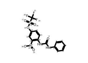 O=C(Nc1ccccc1)Nc1ccc(OS(=O)(=O)C(F)(F)F)cc1[N+](=O)[O-]